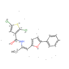 O=C(O)C(=Cc1ccc(-c2ccccc2)o1)NC(=O)c1cc(Cl)sc1Cl